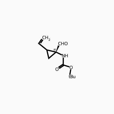 C=CC1C[C@@]1(C=O)NC(=O)OC(C)(C)C